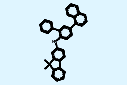 CC1(C)c2ccccc2-c2ccc(Nc3ccc(-c4cccc5ccccc45)cc3-c3ccccc3)cc21